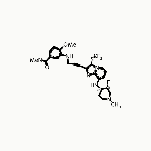 CNC(=O)c1ccc(OC)c(NCC#Cc2nc3c(N[C@@H]4CCN(C)C[C@@H]4F)cccn3c2SC(F)(F)F)c1